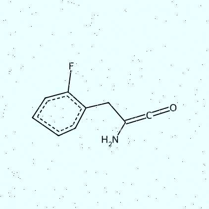 NC(=C=O)Cc1ccccc1F